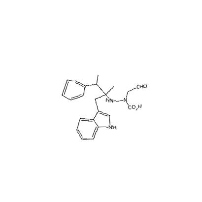 CC(c1ccccc1)C(C)(Cc1c[nH]c2ccccc12)NN(CC=O)C(=O)O